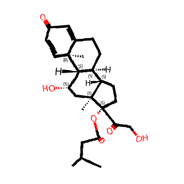 CC(C)CC(=O)O[C@@]1(C(=O)CO)CC[C@H]2[C@@H]3CCC4=CC(=O)C=C[C@]4(C)[C@H]3[C@@H](O)C[C@@]21C